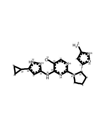 Cc1cc([C@@H]2CCCN2c2ncc(Cl)c(Nc3cc(C4CC4)[nH]n3)n2)on1